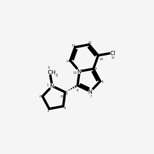 CN1CCC[C@H]1c1ncc2c(Cl)cccn12